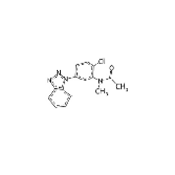 CC(=O)N(C)c1cc(-n2nnc3ccccc32)ccc1Cl